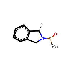 C[C@H]1c2ccccc2CN1[S@@+]([O-])C(C)(C)C